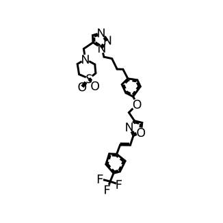 O=S1(=O)CCN(Cc2cnnn2CCCCc2ccc(OCc3coc(C=Cc4ccc(C(F)(F)F)cc4)n3)cc2)CC1